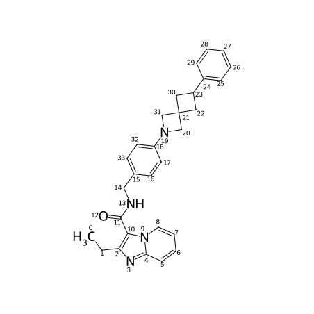 CCc1nc2ccccn2c1C(=O)NCc1ccc(N2CC3(CC(c4ccccc4)C3)C2)cc1